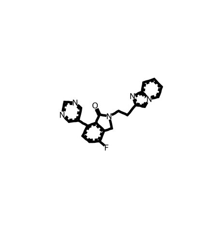 O=C1c2c(-c3cncnc3)ccc(F)c2CN1CCc1cn2ccccc2n1